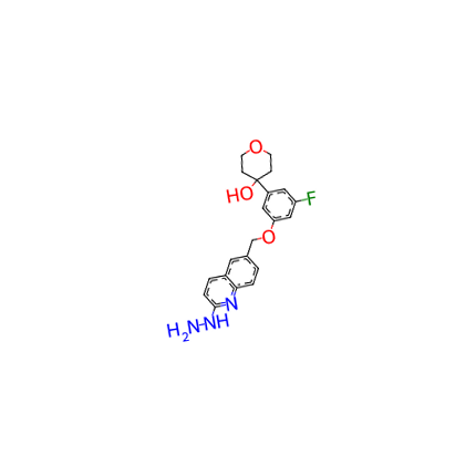 NNc1ccc2cc(COc3cc(F)cc(C4(O)CCOCC4)c3)ccc2n1